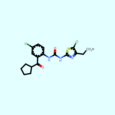 O=C(O)Cc1nc(NC(=O)Nc2ccc(Cl)cc2C(=O)C2CCCC2)sc1Cl